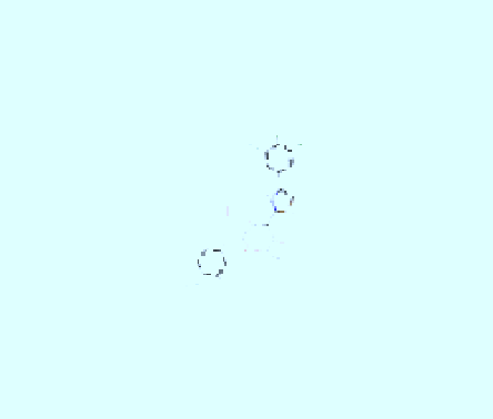 OC1C(Sc2ccc(Cl)c(Cl)c2)OC2COC2C1c1nc(-c2cc(F)c(F)c(F)c2)cs1